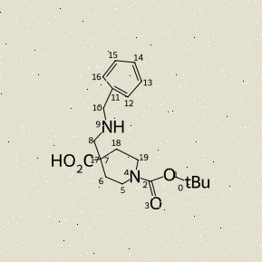 CC(C)(C)OC(=O)N1CCC(CNCc2ccccc2)(C(=O)O)CC1